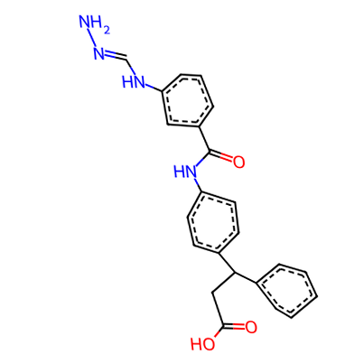 NN=CNc1cccc(C(=O)Nc2ccc(C(CC(=O)O)c3ccccc3)cc2)c1